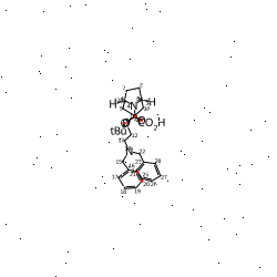 CC(C)(C)OC(=O)N1[C@@H]2CC[C@H]1CC(OCCN(Cc1ccccc1)Cc1ccccc1)(C(=O)O)C2